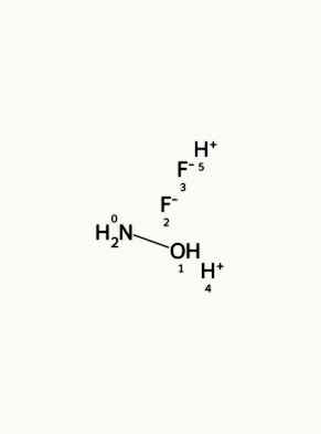 NO.[F-].[F-].[H+].[H+]